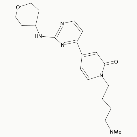 CNCCCCn1ccc(-c2ccnc(NC3CCOCC3)n2)cc1=O